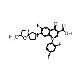 CC1COC2(CCN(c3cc4c(cc3F)c(=O)c(C(=O)O)cn4-c3ccc(F)cc3F)C2)O1